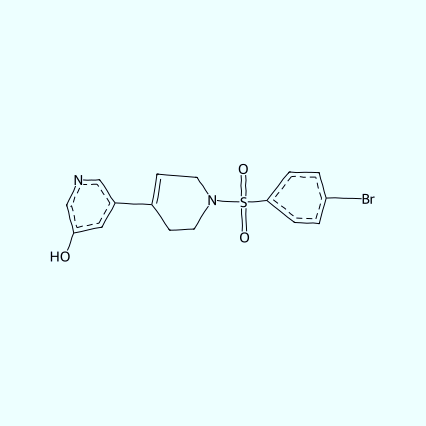 O=S(=O)(c1ccc(Br)cc1)N1CC=C(c2cncc(O)c2)CC1